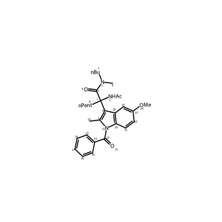 CCCCCC(NC(C)=O)(C(=O)N(C)CCCC)c1c(C)n(C(=O)c2ccccc2)c2ccc(OC)cc12